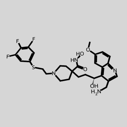 COc1ccc2ncc(CN)c([C@H](O)CCC3(C(=O)NO)CCN(CCSc4cc(F)c(F)c(F)c4)CC3)c2c1